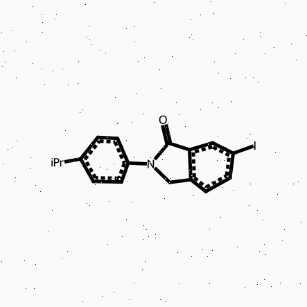 CC(C)c1ccc(N2Cc3ccc(I)cc3C2=O)cc1